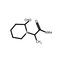 CNC(=O)C(C)N1CCCCC1C=O